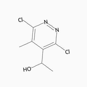 Cc1c(Cl)nnc(Cl)c1C(C)O